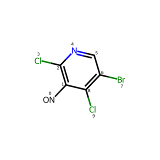 O=Nc1c(Cl)ncc(Br)c1Cl